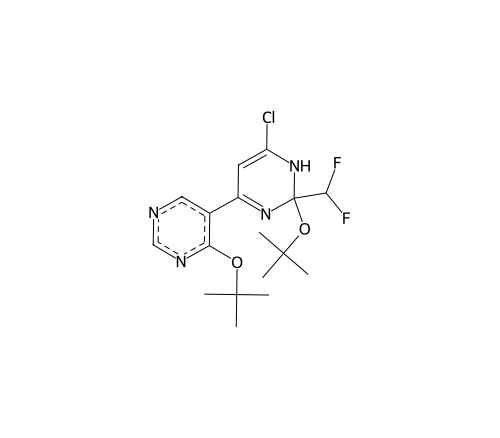 CC(C)(C)Oc1ncncc1C1=NC(OC(C)(C)C)(C(F)F)NC(Cl)=C1